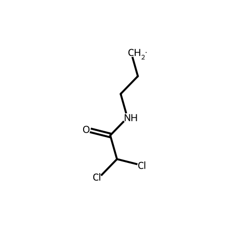 [CH2]CCNC(=O)C(Cl)Cl